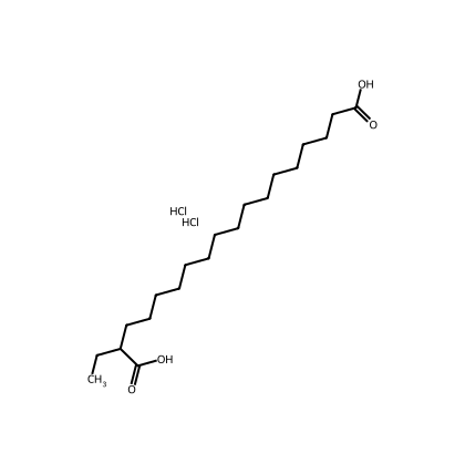 CCC(CCCCCCCCCCCCCCCC(=O)O)C(=O)O.Cl.Cl